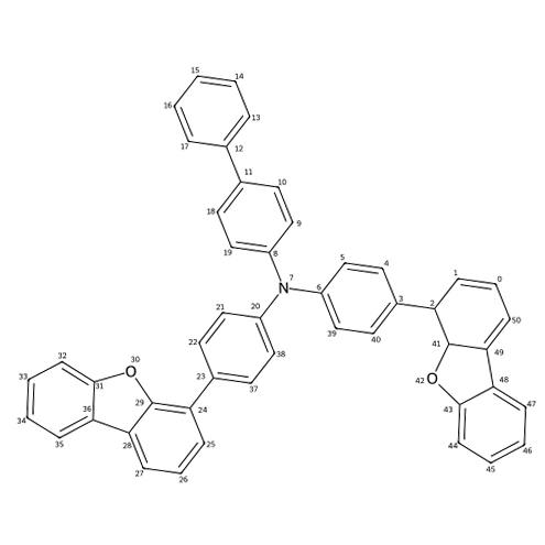 C1=CC(c2ccc(N(c3ccc(-c4ccccc4)cc3)c3ccc(-c4cccc5c4oc4ccccc45)cc3)cc2)C2Oc3ccccc3C2=C1